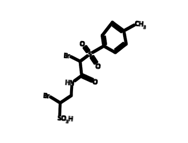 Cc1ccc(S(=O)(=O)C(Br)C(=O)NCC(Br)S(=O)(=O)O)cc1